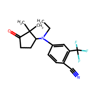 CCN(c1ccc(C#N)c(C(F)(F)F)c1)C1CCC(=O)C1(C)C